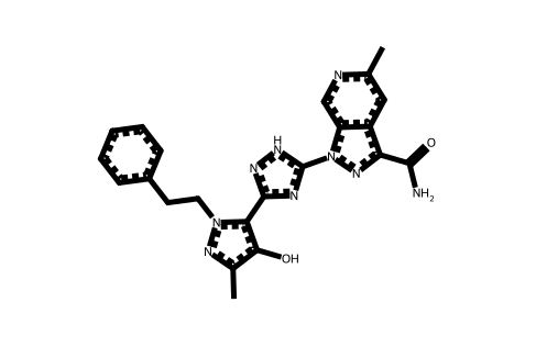 Cc1cc2c(C(N)=O)nn(-c3nc(-c4c(O)c(C)nn4CCc4ccccc4)n[nH]3)c2cn1